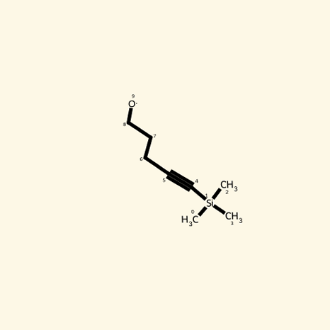 C[Si](C)(C)C#CCCC[O]